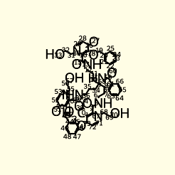 Cc1c(C(=O)NCCCC(CCCNC(=O)c2c(OCc3ccccc3)c(=O)ccn2CCO)(CCCNC(=O)c2c(OCc3ccccc3)c(=O)ccn2CCO)NC(=O)c2ccccc2)n(CCO)ccc1=O